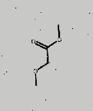 CO[CH]C(=O)OC